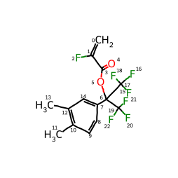 C=C(F)C(=O)OC(c1ccc(C)c(C)c1)(C(F)(F)F)C(F)(F)F